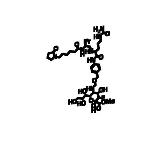 COC(=O)C1(O)O[C@@H]([C@H](O)[C@H](O)CO)[C@H](NCOCc2ccc(NC(=O)C(CCCNC(N)=O)NCC(NC(=O)CCCCCN3CCCC3=O)C(C)C)cc2)[C@@H](O)C1F